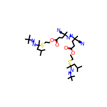 CC(C)CC(C)(/N=N/C(C)(C)C)SCCOC(=O)CCC(C)(C#N)/N=N/C(C)(C#N)CCC(=O)OCCSC(C)(CC(C)C)/N=N/C(C)(C)C